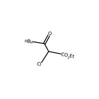 CCCCC(=O)C(Cl)C(=O)OCC